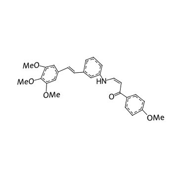 COc1ccc(C(=O)/C=C\Nc2cccc(C=Cc3cc(OC)c(OC)c(OC)c3)c2)cc1